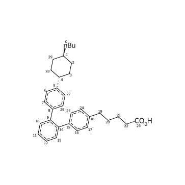 CCCC[C@H]1CC[C@H](c2ccc(-c3ccccc3-c3ccc(CCCCC(=O)O)cc3)cc2)CC1